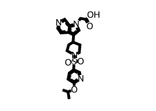 CC(C)Oc1ccc(S(=O)(=O)N2CCC(c3cn(CC(=O)O)c4cnccc34)CC2)cn1